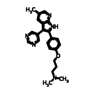 Cc1cnc2[nH]c(-c3ccc(OCCCN(C)C)cc3)c(-c3cncnc3)c2c1